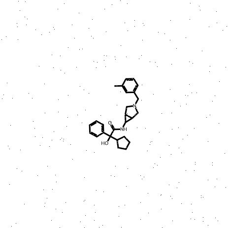 Cc1cccc(CN2CC3C(C2)C3NC(=O)C(O)(c2ccccc2)C2CCCC2)c1